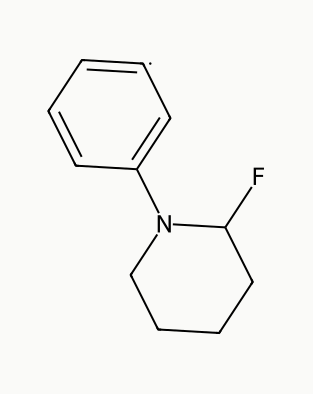 FC1CCCCN1c1c[c]ccc1